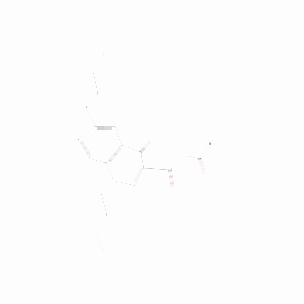 COCCn1cc(C(=O)OC(=O)C(F)(F)F)c(=O)c2cc(CCCN)ccc21